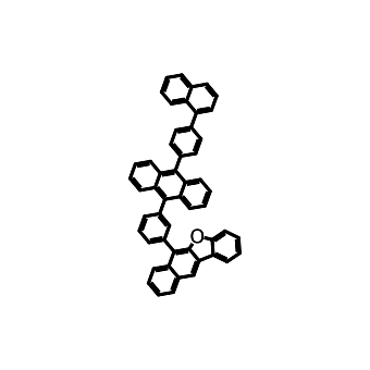 c1cc(-c2c3ccccc3c(-c3ccc(-c4cccc5ccccc45)cc3)c3ccccc23)cc(-c2c3ccccc3cc3c2oc2ccccc23)c1